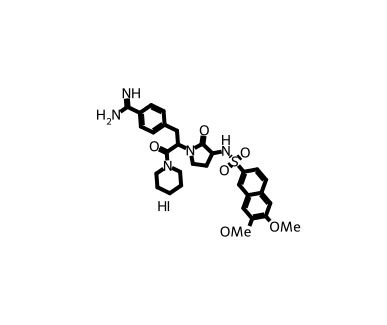 COc1cc2ccc(S(=O)(=O)NC3CCN(C(Cc4ccc(C(=N)N)cc4)C(=O)N4CCCCC4)C3=O)cc2cc1OC.I